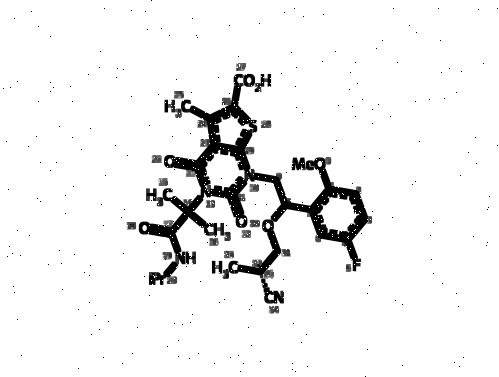 COc1ccc(F)cc1C(Cn1c(=O)n(C(C)(C)C(=O)NC(C)C)c(=O)c2c(C)c(C(=O)O)sc21)OC[C@@H](C)C#N